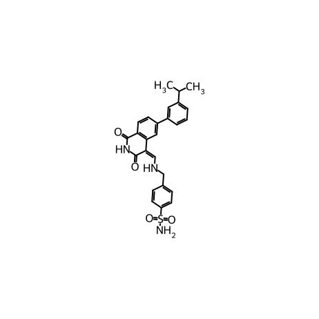 CC(C)c1cccc(-c2ccc3c(c2)/C(=C/NCc2ccc(S(N)(=O)=O)cc2)C(=O)NC3=O)c1